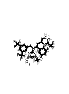 CCC1CC(N(Cc2cc(C(F)(F)F)cc(C(F)(F)F)c2)c2nnn(C)n2)c2cc(OC(F)(F)F)ccc2N1C(=O)C(F)(F)F